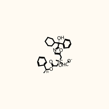 C[C@H](OC(=O)C[N+](C)(C)Cc1cnc([C@](O)(c2ccccc2)C2CCCCC2)o1)c1ccccc1.O=C[O-]